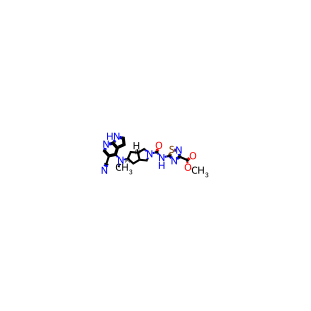 COC(=O)c1nsc(NC(=O)N2CC3C[C@@H](N(C)c4c(C#N)cnc5[nH]ccc45)C[C@@H]3C2)n1